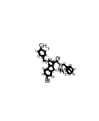 Cc1ccc(Cn2nc(C(=O)NCC3CCC4CC3C4(C)C)c3c2-c2ccc(Br)cc2C3)cc1